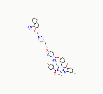 Cc1ccc(C(=O)N(CCCNC(=O)c2ccc(OCCCN3CCN(CCOc4ccc5ccccc5c4N)CC3)nc2)[C@@H](c2nc3cc(Cl)ccc3c(=O)n2Cc2ccccc2)C(C)C)cc1